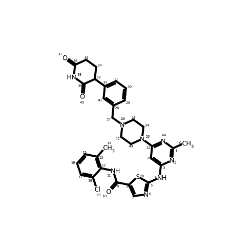 Cc1nc(Nc2ncc(C(=O)Nc3c(C)cccc3Cl)s2)cc(N2CCN(Cc3cccc(C4CCC(=O)NC4=O)c3)CC2)n1